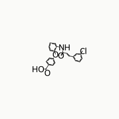 O=C(/C=C/c1cccc(Cl)c1)Nc1ccccc1Oc1ccc(C(=O)O)cc1